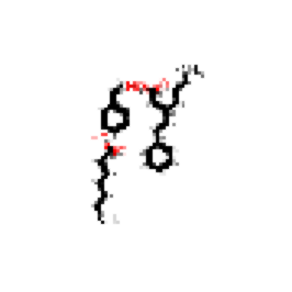 C=Cc1ccccc1.CCCCC(C=Cc1ccccc1)=CC(=O)O.CCCCC=CC(=O)O